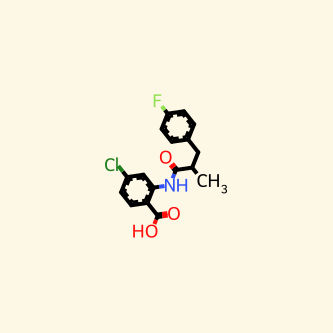 CC(Cc1ccc(F)cc1)C(=O)Nc1cc(Cl)ccc1C(=O)O